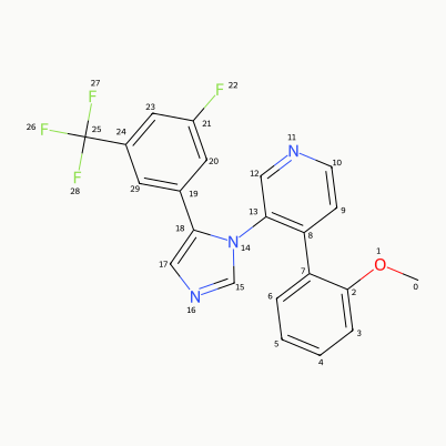 COc1ccccc1-c1ccncc1-n1cncc1-c1cc(F)cc(C(F)(F)F)c1